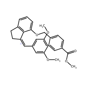 COC(=O)c1ccc(COc2cccc3c2/C(=C\c2cc(OC)cc(OC)c2)CC3)cc1